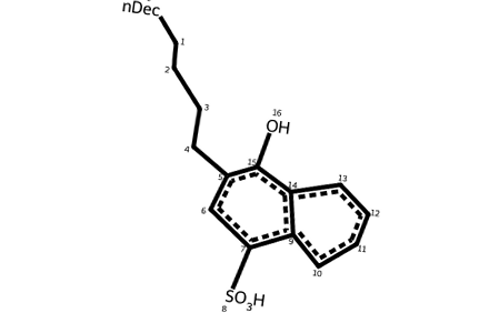 CCCCCCCCCCCCCCc1cc(S(=O)(=O)O)c2ccccc2c1O